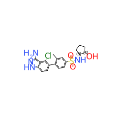 Cc1cc(S(=O)(=O)N[C@@H]2CCC[C@@H]2O)ccc1-c1ccc2[nH]nc(N)c2c1Cl